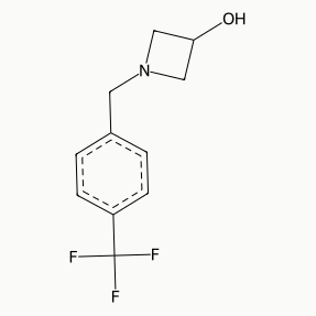 OC1CN(Cc2ccc(C(F)(F)F)cc2)C1